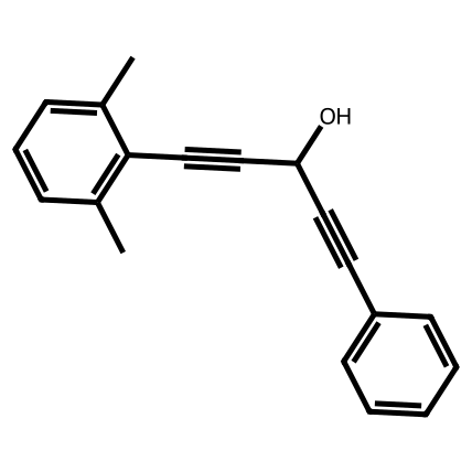 Cc1cccc(C)c1C#CC(O)C#Cc1ccccc1